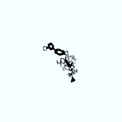 CC(C)(C(=O)Nc1ccc(-c2cccc(Cl)c2)cc1)c1csc(N[S+]([O-])C2CC2)n1